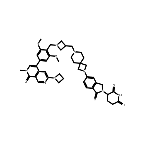 COc1cc(-c2cn(C)c(=O)c3cnc(N4CCC4)cc23)cc(OC)c1CN1CC(CN2CCC3(CC2)CN(c2ccc4c(c2)CN(C2CCC(=O)NC2=O)C4=O)C3)C1